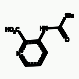 CC(C)(C)C(=O)Nc1cccnc1C(=O)O